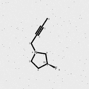 CC#CCN1CC[C@H](F)C1